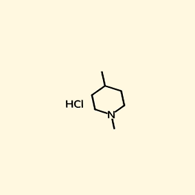 CC1CCN(C)CC1.Cl